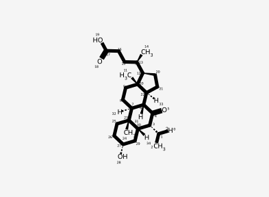 [2H]C(C)[C@H]1C(=O)[C@@H]2[C@H](CC[C@]3(C)[C@@H]([C@H](C)CCC(=O)O)CC[C@@H]23)[C@@]2(C)CC[C@@H](O)C[C@@H]12